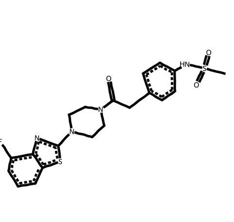 CS(=O)(=O)Nc1ccc(CC(=O)N2CCN(c3nc4c(F)cccc4s3)CC2)cc1